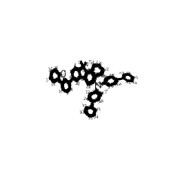 CC1(C)c2ccc(-c3cccc4c3oc3ccccc34)cc2-c2cc(N(c3ccc(-c4ccccc4)cc3)c3ccc(-c4ccccc4)cc3)c3ccccc3c21